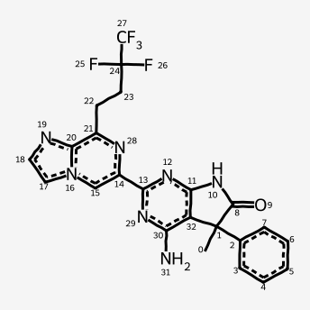 CC1(c2ccccc2)C(=O)Nc2nc(-c3cn4ccnc4c(CCC(F)(F)C(F)(F)F)n3)nc(N)c21